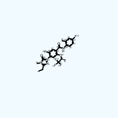 CCc1nn(-c2cc(O[C@@H](C)C(F)(F)F)c(C(=O)Nc3ccc(F)cc3C)cc2F)c(=O)n1C